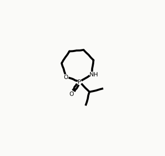 CC(C)P1(=O)NCCCCO1